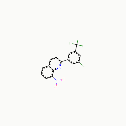 O=[N+]([O-])c1cccc2ccc(-c3cc(F)cc(C(F)(F)F)c3)nc12